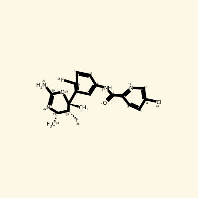 C[C@]1(c2cc(NC(=O)c3ccc(Cl)cn3)ccc2F)OC(N)=N[C@@H](C(F)(F)F)[C@H]1F